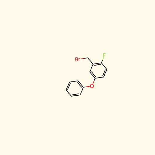 Fc1ccc(Oc2ccccc2)cc1CBr